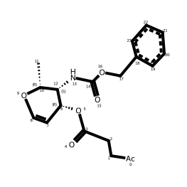 CC(=O)CCC(=O)O[C@@H]1C=CO[C@H](C)[C@@H]1NC(=O)OCc1ccccc1